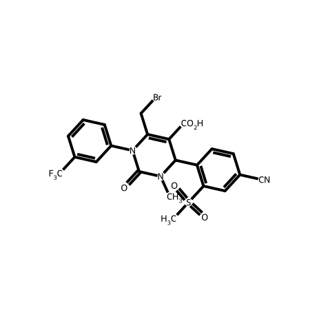 CN1C(=O)N(c2cccc(C(F)(F)F)c2)C(CBr)=C(C(=O)O)C1c1ccc(C#N)cc1S(C)(=O)=O